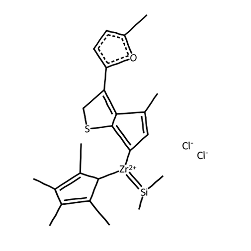 CC1=C[C]([Zr+2]([CH]2C(C)=C(C)C(C)=C2C)=[Si](C)C)=C2SCC(c3ccc(C)o3)=C12.[Cl-].[Cl-]